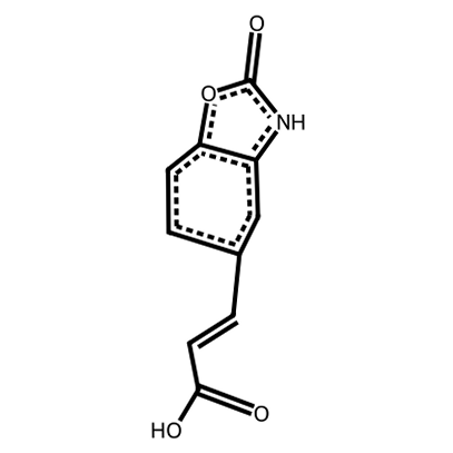 O=C(O)/C=C/c1ccc2oc(=O)[nH]c2c1